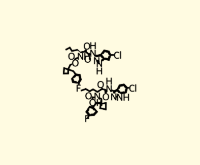 CCCCC(C(=O)C(=O)Nc1n[nH]c2cc(Cl)ccc12)N(CC1(Cc2ccc(F)cc2)CCC1)C(=O)O.CCCC[C@H](NC(=O)OCC1(Cc2ccc(F)cc2)CCC1)C(=O)C(=O)Nc1n[nH]c2cc(Cl)ccc12